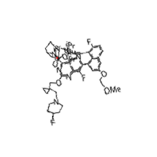 COCOc1cc(-c2ncc3c(N4CC5CCC(C4)N5C(=O)OC(C)(C)C)nc(OCC4(CN5CCC(F)CC5)CC4)nc3c2F)c2c(C#C[Si](C(C)C)(C(C)C)C(C)C)c(F)ccc2c1